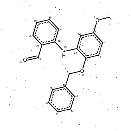 COc1ccc(OCc2ccccc2)c(Pc2ccccc2C=O)c1